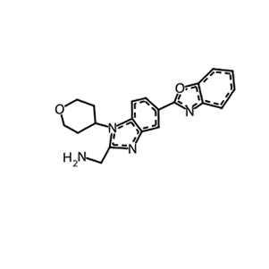 NCc1nc2cc(-c3nc4ccccc4o3)ccc2n1C1CCOCC1